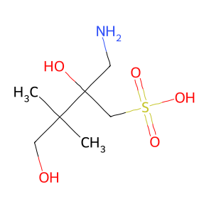 CC(C)(CO)C(O)(CN)CS(=O)(=O)O